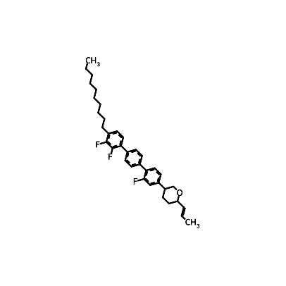 C/C=C/C1CCC(c2ccc(-c3ccc(-c4ccc(CCCCCCCCCC)c(F)c4F)cc3)c(F)c2)CO1